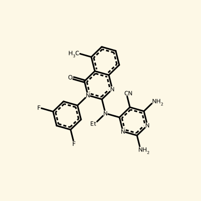 CCN(c1nc(N)nc(N)c1C#N)c1nc2cccc(C)c2c(=O)n1-c1cc(F)cc(F)c1